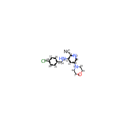 N#Cc1ncc(N2CCOCC2)cc1NCc1ccc(Cl)cc1